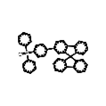 O=P(c1ccccc1)(c1ccccc1)c1ccc(-c2ccc3c(c2)C2(c4ccccc4-c4ccccc42)c2ccccc2-3)cc1